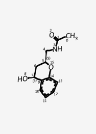 CC(=O)NC[C@@H]1C[C@H](O)c2ccccc2O1